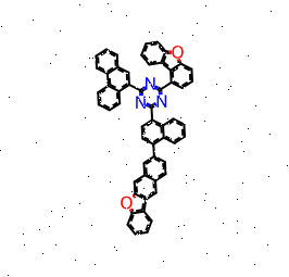 c1ccc2c(c1)cc(-c1nc(-c3ccc(-c4ccc5cc6c(cc5c4)oc4ccccc46)c4ccccc34)nc(-c3cccc4oc5ccccc5c34)n1)c1ccccc12